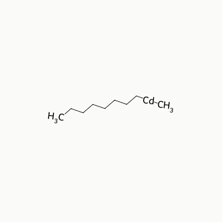 CCCCCCC[CH2][Cd][CH3]